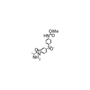 COC(=O)Nc1ccc([S+]([O-])c2ccc(NC(=O)C(C)N)cc2)cc1